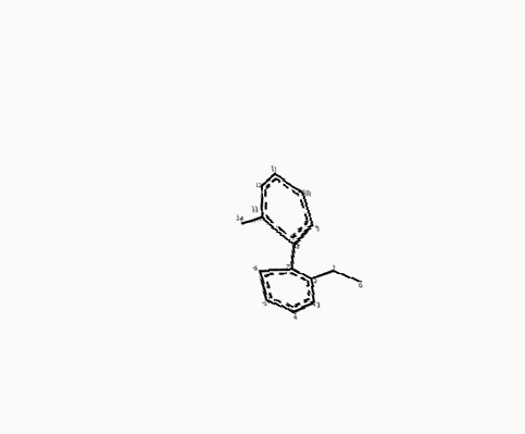 CCc1[c]cccc1-c1ccccc1C